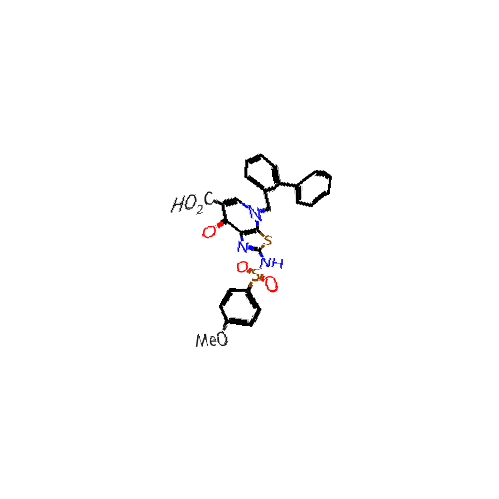 COc1ccc(S(=O)(=O)Nc2nc3c(=O)c(C(=O)O)cn(Cc4ccccc4-c4ccccc4)c3s2)cc1